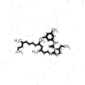 CCCC(C)CCCCC(C)CC(C)CC/N=C1/SCC(CC)N1C(=S)Nc1cc(C)cc(I)c1